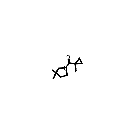 CC1(C)CCN(C(=O)C2(F)CC2)C1